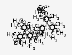 COc1c(C)cc(P(c2cc(C)c(OC)c(C)c2)c2cc(C)c(OC)c(C)c2)cc1C.COc1c(C)cc(P(c2cc(C)c(OC)c(C)c2)c2cc(C)c(OC)c(C)c2)cc1C.[Cl-].[Cl-].[Co+2]